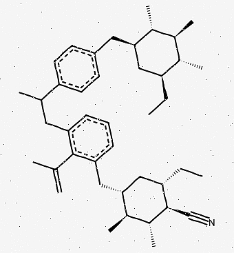 C=C(C)c1c(CC(C)c2ccc(C[C@@H]3C[C@H](CC)[C@@H](C)[C@H](C)[C@H]3C)cc2)cccc1C[C@@H]1C[C@H](CC)[C@@H](C#N)[C@H](C)[C@H]1C